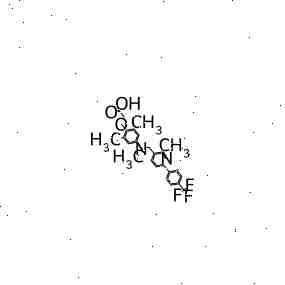 Cc1cc(N(C)Cc2ccc(-c3ccc(C(F)(F)F)cc3)nc2C)cc(C)c1OCC(=O)O